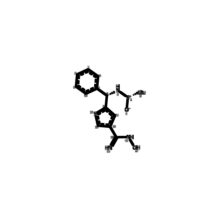 CC(C)(C)[S@+]([O-])N[C@@H](c1ccccc1)c1cc(C(=N)NO)cs1